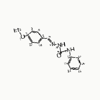 CCOc1ccc(/C=N/NC(=O)Nc2ccccc2)cc1